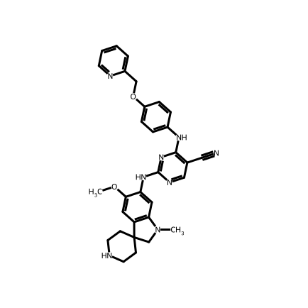 COc1cc2c(cc1Nc1ncc(C#N)c(Nc3ccc(OCc4ccccn4)cc3)n1)N(C)CC21CCNCC1